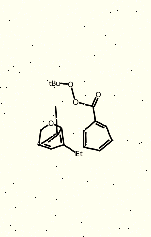 CC(C)(C)OOC(=O)c1ccccc1.CCc1cc2cc(C)c1OC2